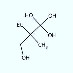 CCC(C)(CO)C(O)(O)O